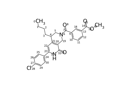 CCCCC1CN(C(=O)c2cccc(C(=O)OC)c2)Cc2c1cc(-c1ccc(Cl)cc1)[nH]c2=O